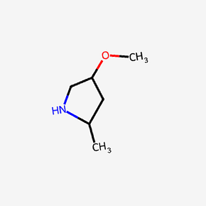 COC1CNC(C)C1